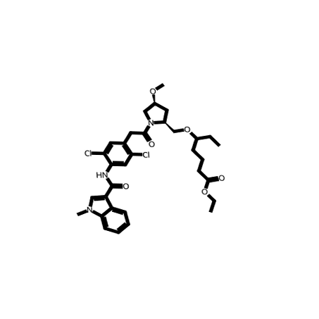 CCOC(=O)CCCC(CC)OC[C@@H]1C[C@H](OC)CN1C(=O)Cc1cc(Cl)c(NC(=O)c2cn(C)c3ccccc23)cc1Cl